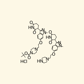 Cl.Cn1nc(C2CCC(=O)NC2=O)c2ccc(OCCN3CCN(C(=O)OC(C)(C)C)CC3)cc21.Cn1nc(C2CCC(=O)NC2=O)c2ccc(OCCN3CCNCC3)cc21